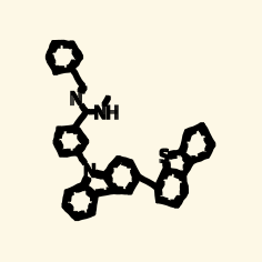 CNC(/N=C/c1ccccc1)c1cccc(-n2c3ccccc3c3cc(-c4cccc5c4sc4ccccc45)ccc32)c1